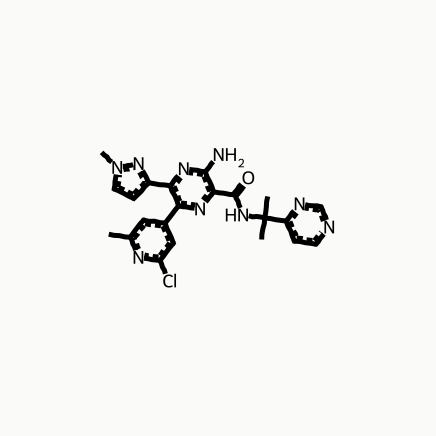 Cc1cc(-c2nc(C(=O)NC(C)(C)c3ccncn3)c(N)nc2-c2ccn(C)n2)cc(Cl)n1